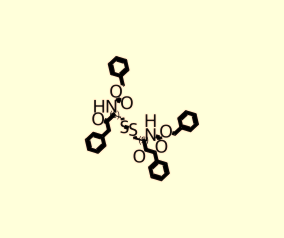 O=C(N[C@H](CSSC[C@@H](NC(=O)OCc1ccccc1)C(=O)Cc1ccccc1)C(=O)Cc1ccccc1)OCc1ccccc1